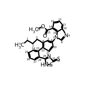 CCCCc1cc(-n2cnc3cccc(C(=O)OC)c32)ccc1-c1ccccc1-c1nc(=S)s[nH]1